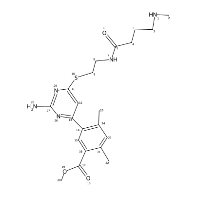 CNCCCC(=O)NCCSc1cc(-c2cc(C(=O)OC)c(C)cc2C)nc(N)n1